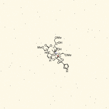 COC[C@@H]1[C@@H](O)[C@@H]2C[C@@H](O[C@@H]3C=C[C@@H]4[C@@H](COC)C(=O)O[C@H]([C@H](O)COC)[C@H](C)/C=C(\C)[C@@]432)[C@@H]1OC(=O)c1cc[nH]n1